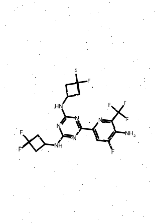 Nc1c(F)cc(-c2nc(NC3CC(F)(F)C3)nc(NC3CC(F)(F)C3)n2)nc1C(F)(F)F